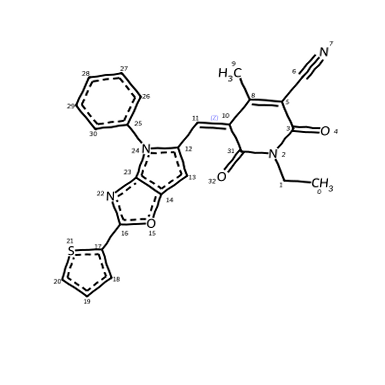 CCN1C(=O)C(C#N)=C(C)/C(=C/c2cc3oc(-c4cccs4)nc3n2-c2ccccc2)C1=O